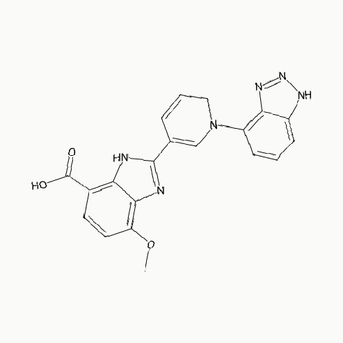 COc1ccc(C(=O)O)c2[nH]c(C3=CN(c4cccc5[nH]nnc45)CC=C3)nc12